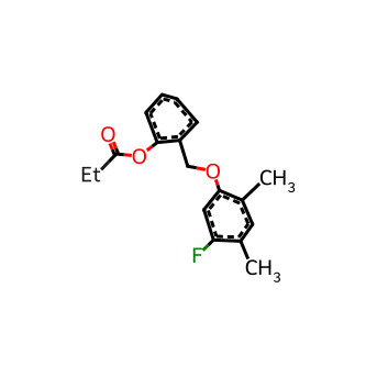 CCC(=O)Oc1ccccc1COc1cc(F)c(C)cc1C